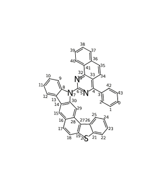 c1ccc(-c2nc(-n3c4ccccc4c4cc5ccc6sc7ccccc7c6c5cc43)nc3c2ccc2ccccc23)cc1